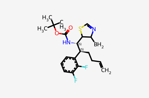 BC1N=CSC1[C@@H](NC(=O)OC(C)(C)C)[C@@H](CCC=C)c1cccc(F)c1F